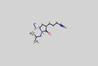 CC(C)CN1C(=O)[C@H](CCCC#N)C[C@H]1CI